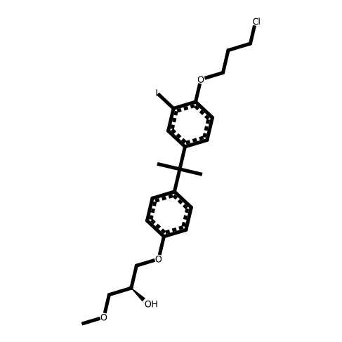 COC[C@H](O)COc1ccc(C(C)(C)c2ccc(OCCCCl)c(I)c2)cc1